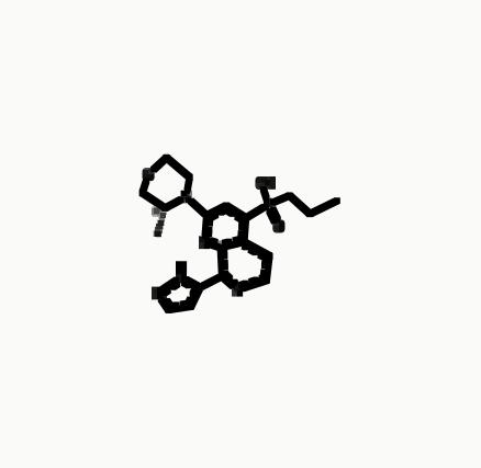 CCCP(=O)(O)c1cc(N2CCOC[C@H]2C)nc2c(-c3ccn[nH]3)nccc12